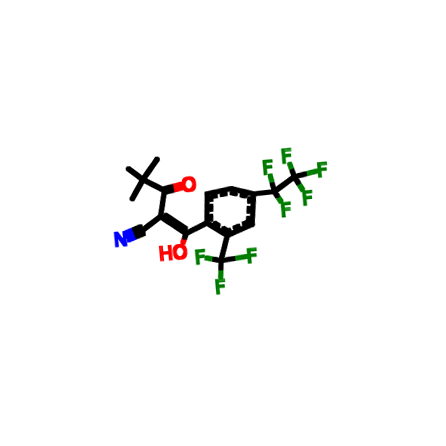 CC(C)(C)C(=O)C(C#N)=C(O)c1ccc(C(F)(F)C(F)(F)F)cc1C(F)(F)F